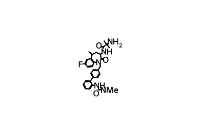 CNC(=O)Nc1ccccc1-c1ccc(CN2C(=O)C(NC(=O)C(C)(C)N)CC(C)c3cc(F)ccc32)cc1